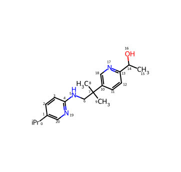 CC(C)c1ccc(NCC(C)(C)c2ccc(C(C)O)nc2)nc1